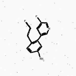 Nc1ccc(CCF)c(-c2cncc(F)c2)c1